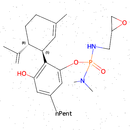 C=C(C)[C@@H]1CCC(C)=C[C@H]1c1c(O)cc(CCCCC)cc1OP(=O)(NCC1CO1)N(C)C